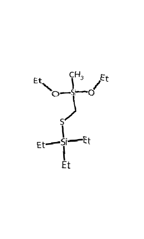 CCO[Si](C)(CS[Si](CC)(CC)CC)OCC